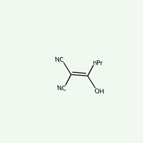 CCCC(O)=C(C#N)C#N